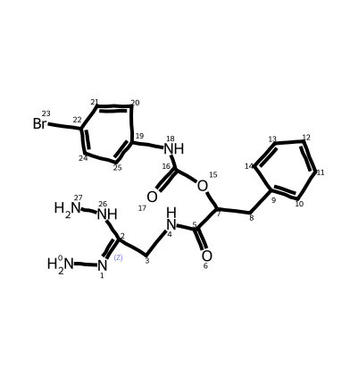 N/N=C(/CNC(=O)C(Cc1ccccc1)OC(=O)Nc1ccc(Br)cc1)NN